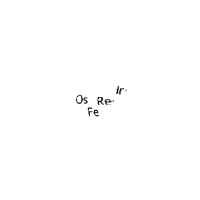 [Fe].[Ir].[Os].[Re]